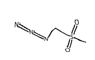 CS(=O)(=O)CN=[N+]=[N-]